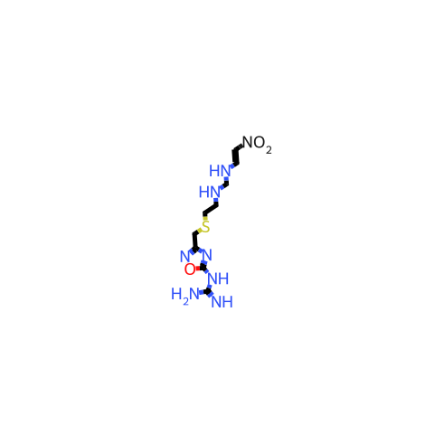 N=C(N)Nc1nc(CSCCNCNC=C[N+](=O)[O-])no1